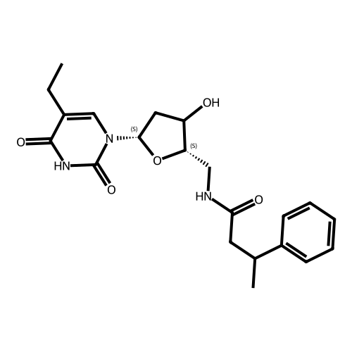 CCc1cn([C@@H]2CC(O)[C@H](CNC(=O)CC(C)c3ccccc3)O2)c(=O)[nH]c1=O